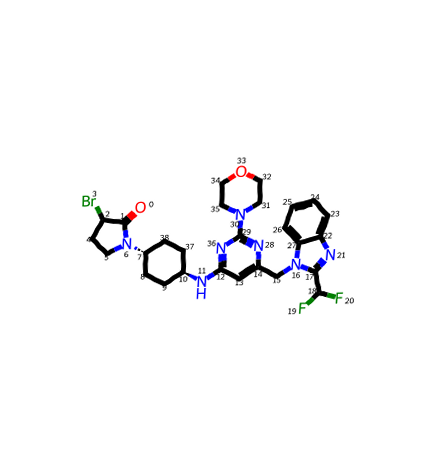 O=C1C(Br)CCN1[C@H]1CC[C@H](Nc2cc(Cn3c(C(F)F)nc4ccccc43)nc(N3CCOCC3)n2)CC1